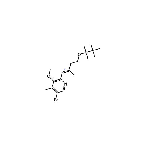 COc1c(/C=C(\C)CCO[Si](C)(C)C(C)(C)C)ncc(Br)c1C